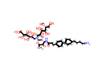 CC(=O)C(=O)[C@H](CCN(C[C@H](O)[C@@H](O)[C@H](O)[C@H](O)CO)C[C@H](O)[C@@H](O)[C@H](O)[C@H](O)CO)NC(=O)CCc1ccc(-c2ccc(CCCCN)cc2)cc1